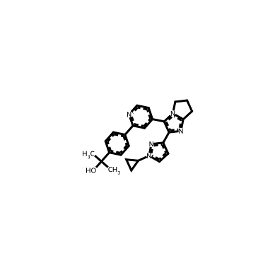 CC(C)(O)c1ccc(-c2cc(-c3c(-c4ccn(C5CC5)n4)nc4n3CCC4)ccn2)cc1